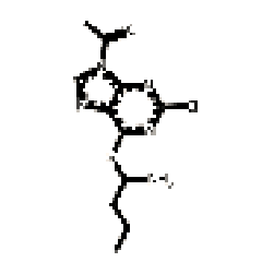 CCCC(N)Sc1nc(Cl)nc2c1ncn2C(C)=O